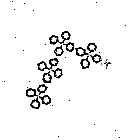 [O-][Si]([O-])([O-])[O-].c1ccc([P+](c2ccccc2)(c2ccccc2)c2ccccc2)cc1.c1ccc([P+](c2ccccc2)(c2ccccc2)c2ccccc2)cc1.c1ccc([P+](c2ccccc2)(c2ccccc2)c2ccccc2)cc1.c1ccc([P+](c2ccccc2)(c2ccccc2)c2ccccc2)cc1